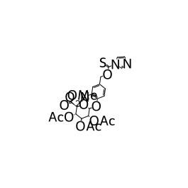 COC(=O)[C@H]1O[C@@H](Oc2ccc(COC(=S)n3ccnc3)cc2[N+](=O)[O-])[C@H](OC(C)=O)[C@@H](OC(C)=O)[C@@H]1OC(C)=O